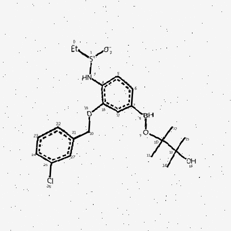 CC[S+]([O-])Nc1ccc(BOC(C)(C)C(C)(C)O)cc1OCc1cccc(Cl)c1